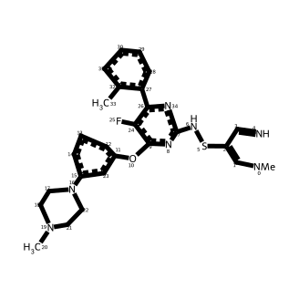 CN/C=C(\C=N)SNc1nc(Oc2cccc(N3CCN(C)CC3)c2)c(F)c(-c2ccccc2C)n1